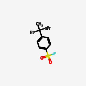 CCCC(C)(CC)c1ccc(S(=O)(=O)F)cc1